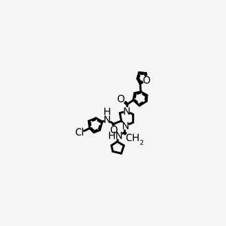 C=C(NC1CCCC1)N1CCN(C(=O)c2cccc(-c3ccco3)c2)CC1C(=O)Nc1ccc(Cl)cc1